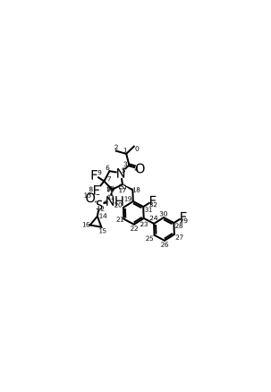 CC(C)C(=O)N1CC(F)(F)[C@H](N[S+]([O-])C2CC2)[C@@H]1Cc1cccc(-c2cccc(F)c2)c1F